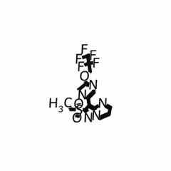 CCS(=O)(=O)c1nn2cccnc2c1-c1cnc(OCC(F)(F)C(F)(F)F)cn1